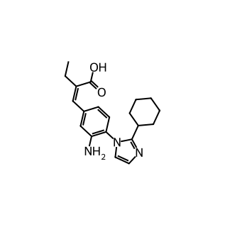 CCC(=Cc1ccc(-n2ccnc2C2CCCCC2)c(N)c1)C(=O)O